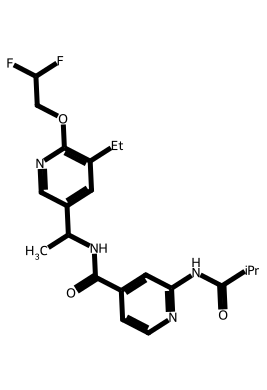 CCc1cc(C(C)NC(=O)c2ccnc(NC(=O)C(C)C)c2)cnc1OCC(F)F